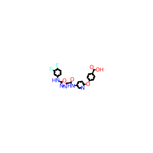 O=C(O)c1ccc(Oc2ccc(NC(=O)c3nnc(Nc4ccc(F)c(F)c4)o3)cn2)cc1